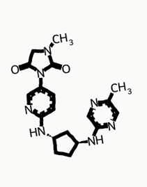 Cc1cnc(N[C@H]2CC[C@H](Nc3ccc(N4C(=O)CN(C)C4=O)cn3)C2)cn1